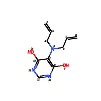 C=CCN(CC=C)c1c(O)ncnc1O